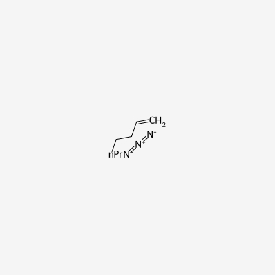 C=CCCCCC.[N-]=[N+]=[N-]